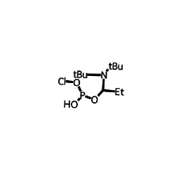 CCC(OP(O)OCl)N(C(C)(C)C)C(C)(C)C